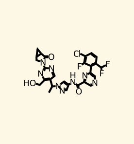 CC(c1cnc(N2CC3CC3C2=O)nc1CO)n1cc(NC(=O)c2cncc(-c3c(C(F)F)ccc(Cl)c3F)n2)cn1